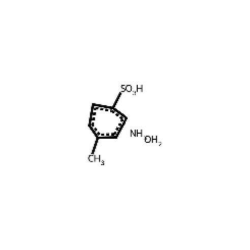 Cc1ccc(S(=O)(=O)O)cc1.N.O